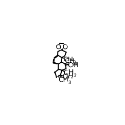 CC12CCC3(CC1=CCC1C4CC[C@](C)(O)C4(C)C[C@](C)(O)C12)OCCO3